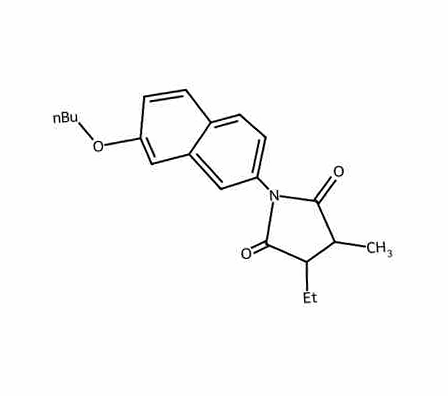 CCCCOc1ccc2ccc(N3C(=O)C(C)C(CC)C3=O)cc2c1